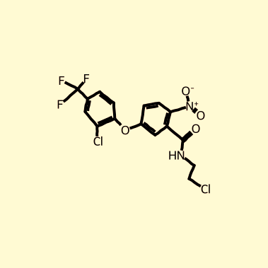 O=C(NCCCl)c1cc(Oc2ccc(C(F)(F)F)cc2Cl)ccc1[N+](=O)[O-]